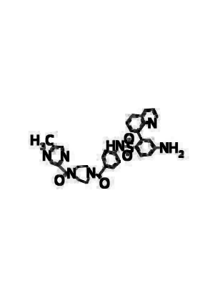 Cc1cnc(C(=O)N2CCN(C(=O)c3ccc(NS(=O)(=O)c4ccc(N)cc4-c4cccc5cccnc45)cc3)CC2)cn1